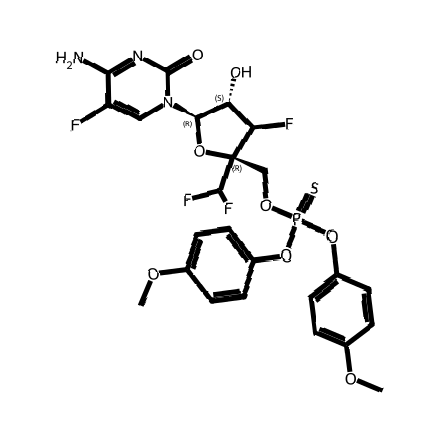 COc1ccc(OP(=S)(OC[C@@]2(C(F)F)O[C@@H](n3cc(F)c(N)nc3=O)[C@H](O)C2F)Oc2ccc(OC)cc2)cc1